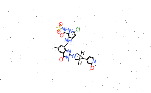 COc1cc(C2[C@H]3CN(c4nc5c([C@@H](C)Nc6ccc(Cl)nc6C(=O)NS(C)(=O)=O)cc(C)cc5c(=O)n4C)C[C@@H]23)ccn1